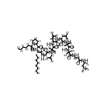 CCCCCCCC[C@H](NC(=O)[C@@H]1CCCN1C(=O)CCCCC)C(=O)N[C@@H](CC(C)C)C(=O)NC(C)(C)C(=O)N[C@@H](CC(C)C)C(=O)N[C@@H](CC(C)C)C(=O)NC(C)(C)C(=O)NC(C)(C)C(=O)NCCC(=O)N[C@@H](C)CN(C)C